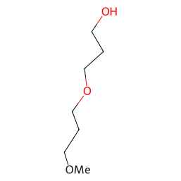 COCCCOCCCO